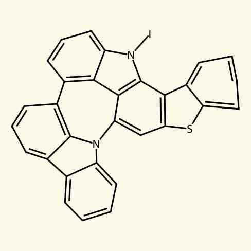 In1c2cccc3c4cccc5c6ccccc6n(c6cc7sc8ccccc8c7c1c6c32)c45